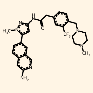 CN1CCN(Cc2ccc(CC(=O)Nc3cc(-c4ccc5cc(N)ncc5c4)n(C)n3)cc2C(F)(F)F)CC1